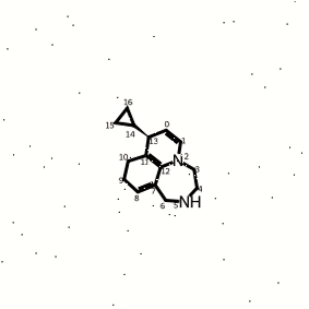 C1=CN2CCNCC3=CCCC(=C32)[C@H]1C1CC1